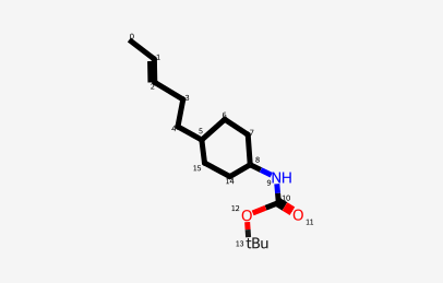 CC=CCCC1CCC(NC(=O)OC(C)(C)C)CC1